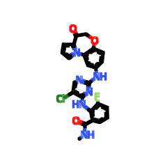 CNC(=O)c1cccc(F)c1Nc1nc(Nc2ccc3c(c2)-n2cccc2C(=O)CO3)ncc1Cl